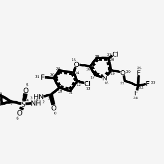 O=C(NNS(=O)(=O)C1CC1)c1cc(Cl)c(Oc2cnc(OCC(F)(F)F)c(Cl)c2)cc1F